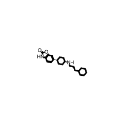 O=c1[nH]c2ccc([C@H]3CC[C@H](NCCCC4CCCCC4)CC3)cc2o1